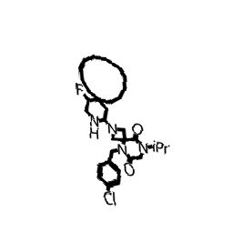 CC(C)N1CC(=O)N(Cc2ccc(Cl)cc2)C2(CN(C3CC4(CCCCCCCCCCC4)C(F)CN3)C2)C1=O